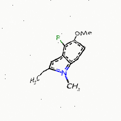 COc1ccc2c(cc(C)n2C)c1F